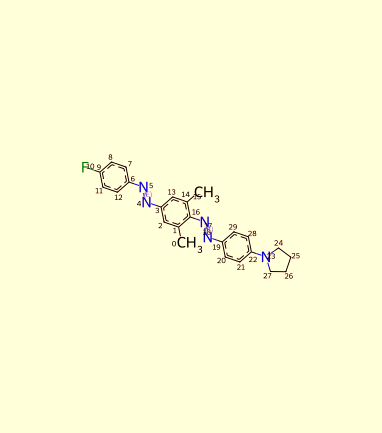 Cc1cc(/N=N/c2ccc(F)cc2)cc(C)c1/N=N/c1ccc(N2CCCC2)cc1